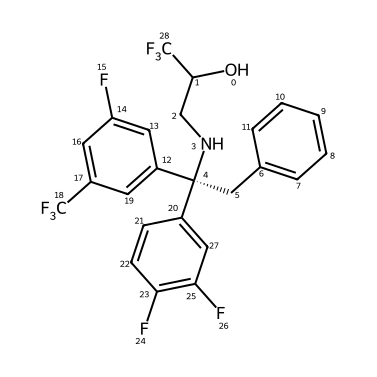 OC(CN[C@](Cc1ccccc1)(c1cc(F)cc(C(F)(F)F)c1)c1ccc(F)c(F)c1)C(F)(F)F